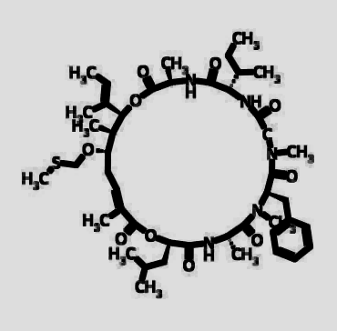 C/C=C(\C)[C@H]1OC(=O)[C@@H](C)NC(=O)[C@H](C(C)CC)NC(=O)CN(C)C(=O)[C@@H](Cc2ccccc2)N(C)C(=O)[C@H](C)NC(=O)[C@@H](CC(C)C)OC(=O)/C(C)=C/C[C@H](OCSC)[C@H]1C